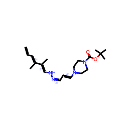 C=C/C=C(C)/C(C)=C/N/N=C\C=C\N1CCN(C(=O)OC(C)(C)C)CC1